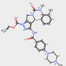 C=COC(=O)n1nc(NC(=O)c2ccc(N3CCN(C)CC3)cc2)c2c1CN(C(=O)N(CC)c1ccccc1CC)C2